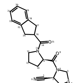 N#C[C@@H]1CSCN1C(=O)[C@H]1CCCN1C(=O)C1Cc2ccccc2C1